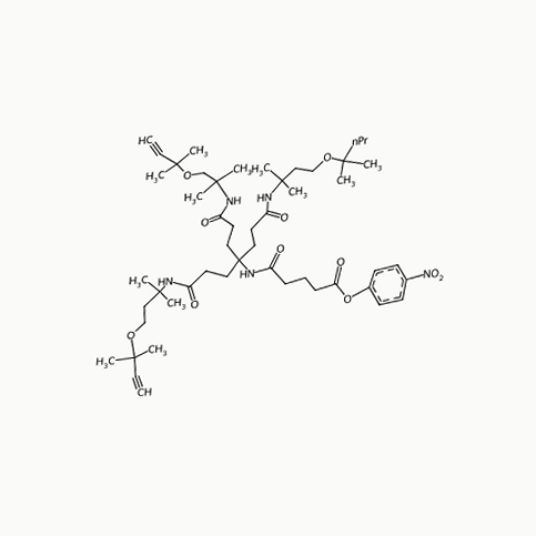 C#CC(C)(C)OCCC(C)(C)NC(=O)CCC(CCC(=O)NC(C)(C)CCOC(C)(C)CCC)(CCC(=O)NC(C)(C)COC(C)(C)C#C)NC(=O)CCCC(=O)Oc1ccc([N+](=O)[O-])cc1